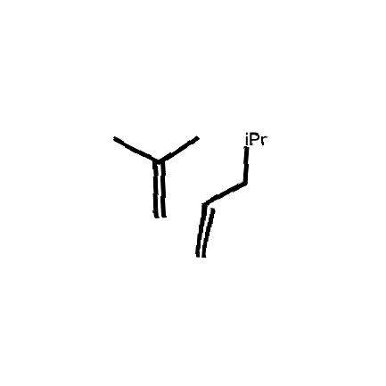 C=C(C)C.C=CCC(C)C